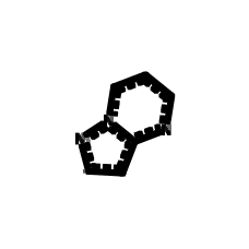 [c]1cc2ncccn2n1